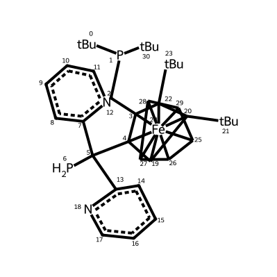 CC(C)(C)P(C[C]12[C]3(C(P)(c4ccccn4)c4ccccn4)[CH]4[C]5(C(C)(C)C)[C]1(C(C)(C)C)[Fe]42351678[CH]2[CH]1[CH]6[CH]7[CH]28)C(C)(C)C